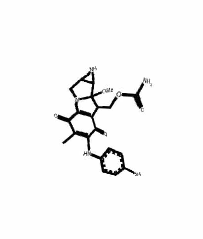 COC12C(COC(N)=O)C3=C(C(=O)C(C)=C(Nc4ccc(S)cc4)C3=O)N1CC1NC12